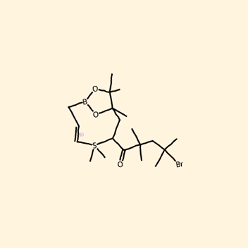 CC(C)(Br)CC(C)(C)C(=O)C1CC2(C)OB(C/C=C/S1(C)C)OC2(C)C